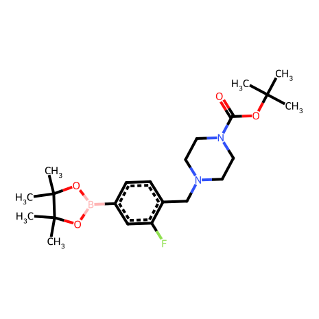 CC(C)(C)OC(=O)N1CCN(Cc2ccc(B3OC(C)(C)C(C)(C)O3)cc2F)CC1